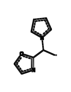 [CH2]C(c1ncco1)n1cccc1